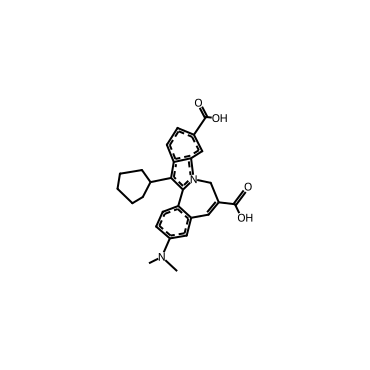 CN(C)c1ccc2c(c1)C=C(C(=O)O)Cn1c-2c(C2CCCCC2)c2ccc(C(=O)O)cc21